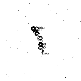 COCCn1cnc2ccc(Sc3ncc(N4CCC5(CC4)Cc4ccccc4[C@H]5N[S+]([O-])C(C)(C)C)nn3)c(Cl)c2c1=O